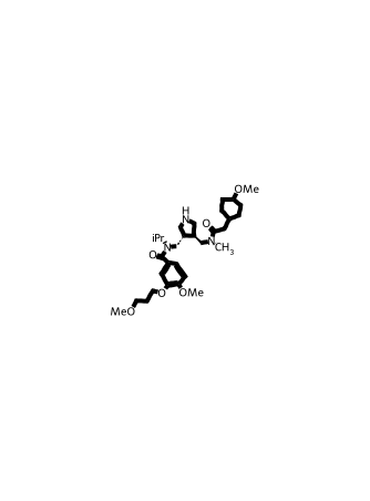 COCCCOc1cc(C(=O)N(C[C@@H]2CNC[C@H]2CN(C)C(=O)CC2CCC(OC)CC2)C(C)C)ccc1OC